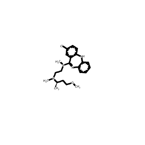 COCC[C@@H](C)N(C)CCN(C)C1=Nc2ccccc2Nc2ccc(Cl)cc21